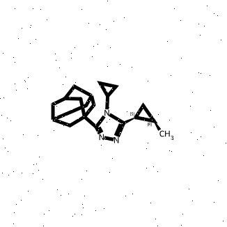 C[C@@H]1C[C@@H]1c1nnc(C23CC4CC(CC(C4)C2)C3)n1C1CC1